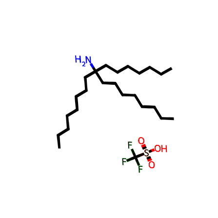 CCCCCCCCC(N)(CCCCCCC)CCCCCCCC.O=S(=O)(O)C(F)(F)F